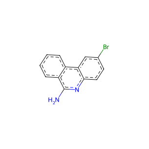 Nc1nc2ccc(Br)cc2c2ccccc12